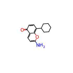 Nc1ccc2c(=O)ccc(C3CCCCC3)c-2o1